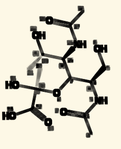 CC(=O)N[C@H](CO)C(O[C@](C)(O)C(=O)O)[C@H](NC(C)=O)[C@H](C)O